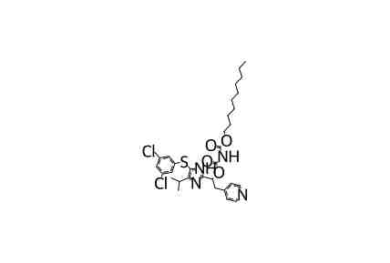 CCCCCCCCCCOC(=O)NC(=O)OC(Cc1ccncc1)c1nc(C(C)C)c(Sc2cc(Cl)cc(Cl)c2)[nH]1